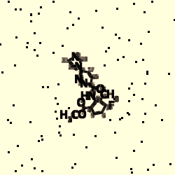 COC(=O)c1ccc(F)c(C)c1NC(=O)c1ccc(-n2ccnc2)nn1